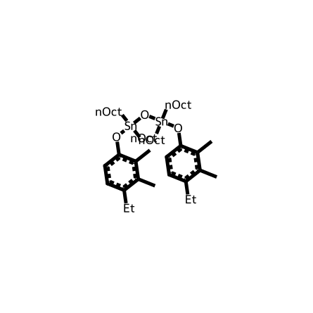 CCCCCCC[CH2][Sn]([CH2]CCCCCCC)([O]c1ccc(CC)c(C)c1C)[O][Sn]([CH2]CCCCCCC)([CH2]CCCCCCC)[O]c1ccc(CC)c(C)c1C